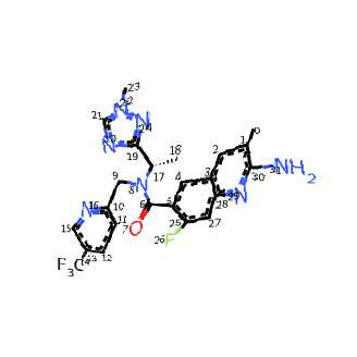 Cc1cc2cc(C(=O)N(Cc3ccc(C(F)(F)F)cn3)[C@@H](C)c3ncn(C)n3)c(F)cc2nc1N